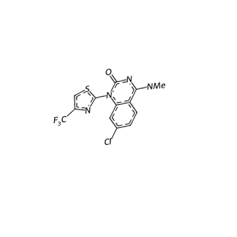 CNc1nc(=O)n(-c2nc(C(F)(F)F)cs2)c2cc(Cl)ccc12